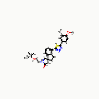 CC(C)Oc1ccc(-c2nnc(-c3cccc4c3CCC43CC(=O)N(CCO[Si](C)(C)C(C)(C)C)C3)s2)cc1C#N